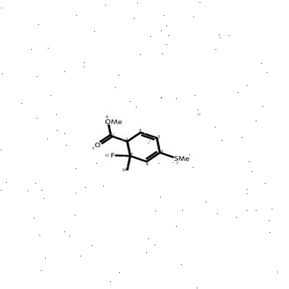 COC(=O)C1C=CC(SC)=CC1(C)F